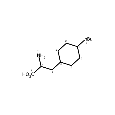 CCCCC1CCC(CC(N)C(=O)O)CC1